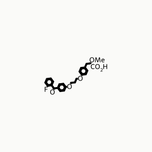 COC(Cc1ccc(OCCCOc2ccc(C(=O)c3ccccc3F)cc2)cc1)C(=O)O